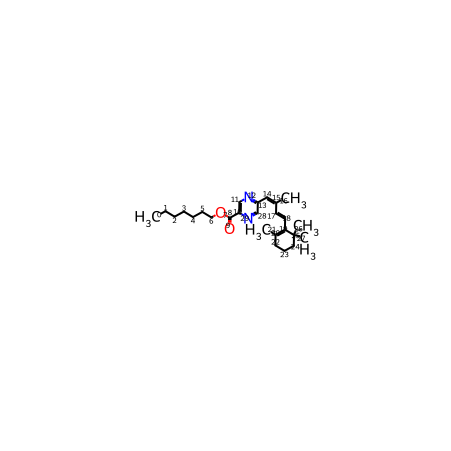 CCCCCCCOC(=O)c1cnc(C=C(C)C=CC2=C(C)CCCC2(C)C)cn1